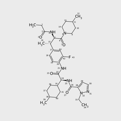 CCC(=O)N[C@@H](C(=O)N1CCC(C)CC1)[C@@H](C)c1ccc(NC(=O)[C@@H](NC(=O)c2ccnn2CC)C2CCC(C)CC2)c(F)c1